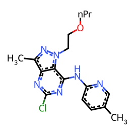 CCCOCCn1nc(C)c2nc(Cl)nc(Nc3ccc(C)cn3)c21